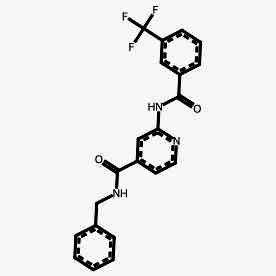 O=C(NCc1ccccc1)c1ccnc(NC(=O)c2cccc(C(F)(F)F)c2)c1